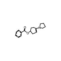 O=C(OC1CC=C(N2CCCC2)CC1)c1ccccc1